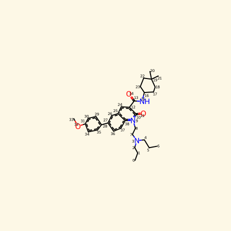 CCCN(CCC)CCn1c(=O)c(C(=O)NC2CCC(C)(C)CC2)cc2cc(-c3ccc(OC)cc3)ccc21